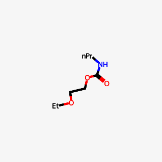 CCCNC(=O)OCCOCC